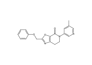 Cc1cncc(N2CCc3nc(COc4ccccc4)oc3C2=O)c1